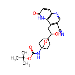 CC(C)(C)OC(=O)NC12CCC(C(O)Cc3c(C#N)cnc4ccc(=O)[nH]c34)(CC1)OC2